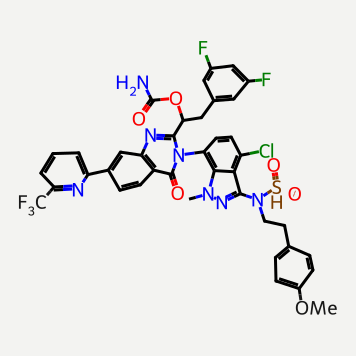 COc1ccc(CCN(c2nn(C)c3c(-n4c(C(Cc5cc(F)cc(F)c5)OC(N)=O)nc5cc(-c6cccc(C(F)(F)F)n6)ccc5c4=O)ccc(Cl)c23)[SH](=O)=O)cc1